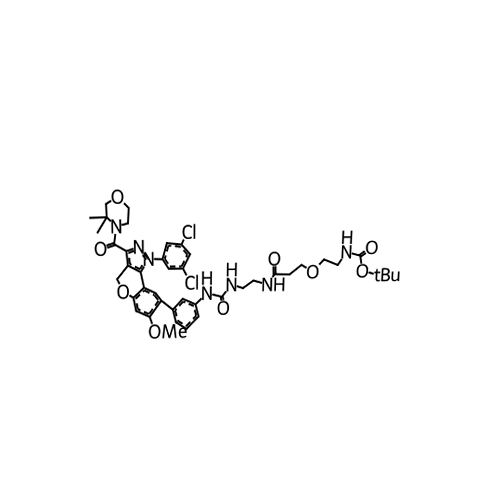 COc1cc2c(cc1-c1cccc(NC(=O)NCCNC(=O)CCOCCNC(=O)OC(C)(C)C)c1)-c1c(c(C(=O)N3CCOCC3(C)C)nn1-c1cc(Cl)cc(Cl)c1)CO2